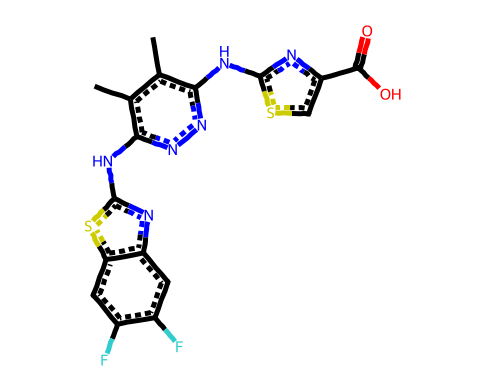 Cc1c(Nc2nc(C(=O)O)cs2)nnc(Nc2nc3cc(F)c(F)cc3s2)c1C